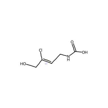 O=C(O)NC/C=C(\Cl)CO